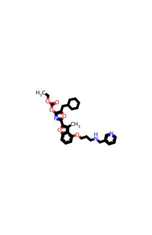 CCOC(=O)Oc1nc(-c2oc3cccc(OCCCNCc4cccnc4)c3c2C)oc1CC1CCCCC1